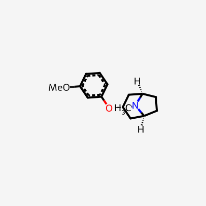 COc1cccc(O[C@@H]2C[C@H]3CC[C@@H](C2)N3C)c1